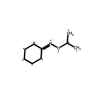 CC(C)ON=C1CCCCC1